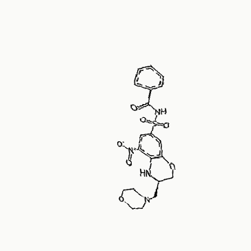 O=C(NS(=O)(=O)c1cc2c(c([N+](=O)[O-])c1)N[C@H](CN1CCOCC1)CO2)c1ccccc1